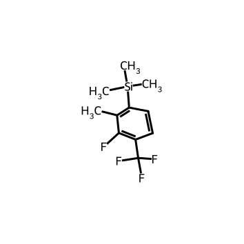 Cc1c([Si](C)(C)C)ccc(C(F)(F)F)c1F